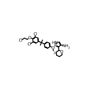 CC(C)(c1ccc(OC[C@H]2CCCOC2c2n[nH]cc2N)cc1)c1cc(Cl)c(OCCCl)c(Cl)c1